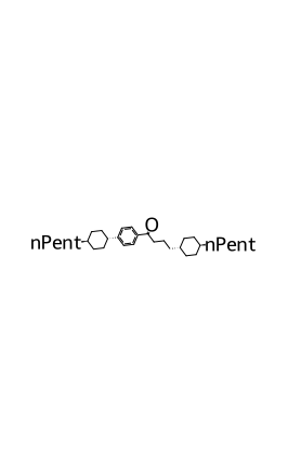 CCCCC[C@H]1CC[C@H](CCCC(=O)c2ccc([C@H]3CC[C@H](CCCCC)CC3)cc2)CC1